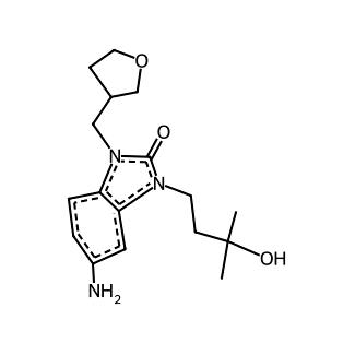 CC(C)(O)CCn1c(=O)n(CC2CCOC2)c2ccc(N)cc21